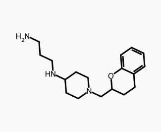 NCCCNC1CCN(CC2CCc3ccccc3O2)CC1